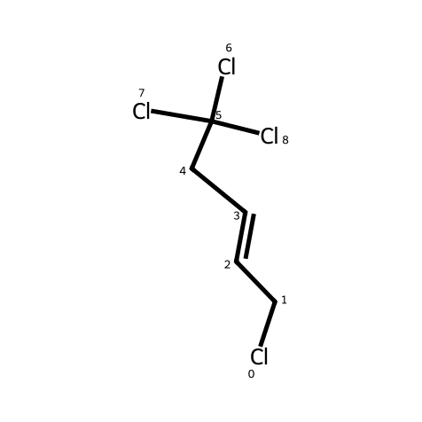 ClCC=CCC(Cl)(Cl)Cl